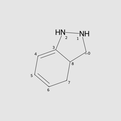 [C]1NNC2=CC=CCC12